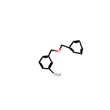 O=C(O)c1cccc(COCc2ccccc2)c1